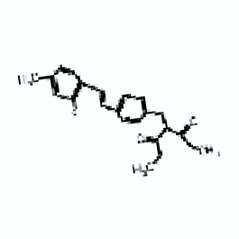 CCC(=O)C(Cc1ccc(C=Cc2ccc(C)cc2Cl)cc1)C(=O)CC